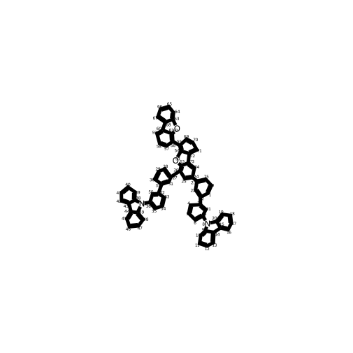 c1cc(-c2cccc(-n3c4ccccc4c4ccccc43)c2)cc(-c2cc(-c3cccc(-c4cccc(-n5c6ccccc6c6ccccc65)c4)c3)c3oc4c(-c5cccc6c5oc5ccccc56)cccc4c3c2)c1